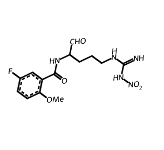 COc1ccc(F)cc1C(=O)NC(C=O)CCCNC(=N)N[N+](=O)[O-]